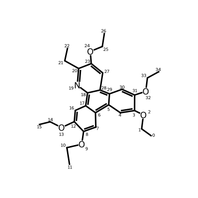 CCOc1cc2c3cc(OCC)c(OCC)cc3c3nc(CC)c(OCC)cc3c2cc1OCC